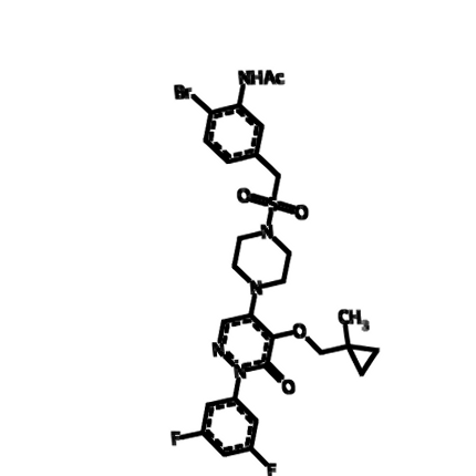 CC(=O)Nc1cc(CS(=O)(=O)N2CCN(c3cnn(-c4cc(F)cc(F)c4)c(=O)c3OCC3(C)CC3)CC2)ccc1Br